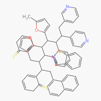 Cc1ccc(C(C([C](Cc2cccnc2)c2ccncc2)c2ccccn2)C(c2ccco2)C(c2cc3ccccc3s2)C(CC2=CC=CCC2=S)C(Cc2cccc3ccccc23)C2=CC=CCC2=S)o1